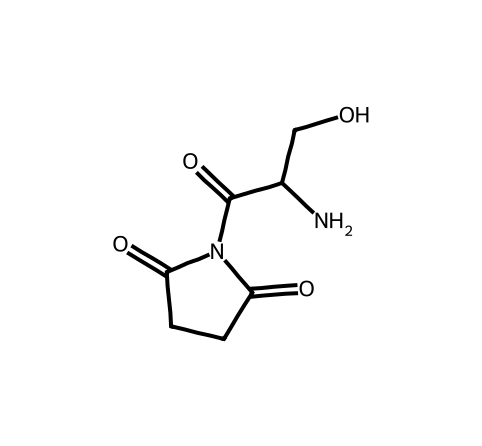 NC(CO)C(=O)N1C(=O)CCC1=O